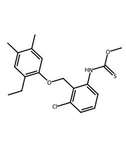 CCc1cc(C)c(C)cc1OCc1c(Cl)cccc1NC(=S)OC